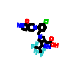 O=C(O)C1NC(C(C(F)(F)F)C(F)(F)F)C2CN(Cc3ccc(Cl)cc3N3CCC4(CCNC4=O)CC3)CC12